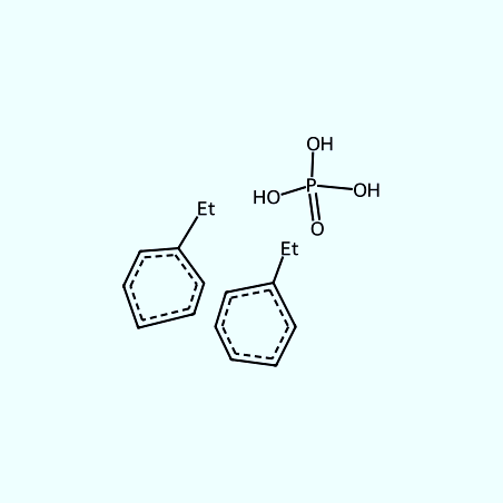 CCc1ccccc1.CCc1ccccc1.O=P(O)(O)O